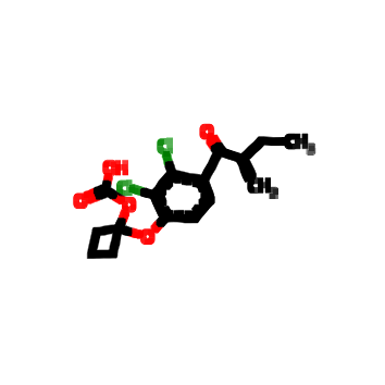 C=C(CC)C(=O)c1ccc(OC2(OC(=O)O)CCC2)c(Cl)c1Cl